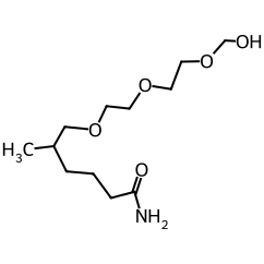 CC(CCCC(N)=O)COCCOCCOCO